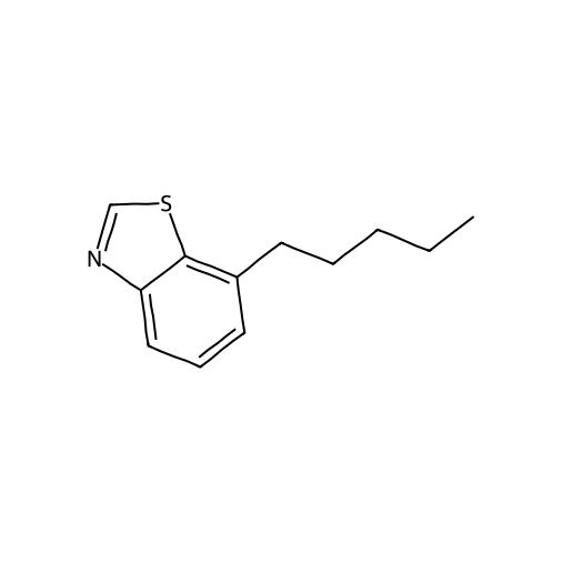 CCCCCc1cccc2ncsc12